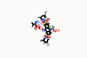 CC(C)C(N)C(=O)OCON=C1c2cc(S(=O)(=O)N3C[C@H](C)C[C@H](C)C3)ccc2C(=NO)c2ccc(S(=O)(=O)N3C[C@H](C)C[C@H](C)C3)cc21.Cl